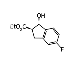 CCOC(=O)[C@@H]1Cc2cc(F)ccc2[C@H]1O